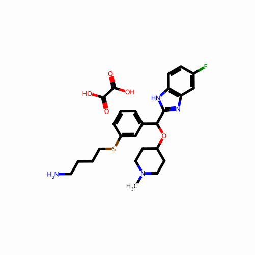 CN1CCC(OC(c2cccc(SCCCCN)c2)c2nc3cc(F)ccc3[nH]2)CC1.O=C(O)C(=O)O